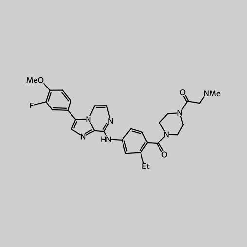 CCc1cc(Nc2nccn3c(-c4ccc(OC)c(F)c4)cnc23)ccc1C(=O)N1CCN(C(=O)CNC)CC1